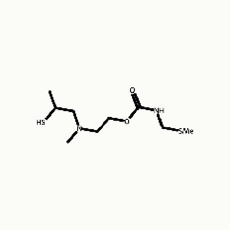 CSCNC(=O)OCCN(C)CC(C)S